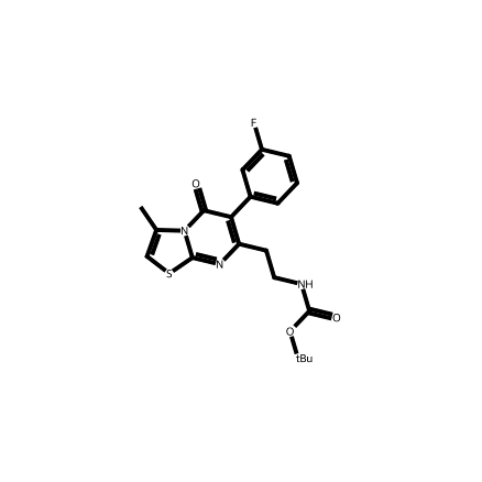 Cc1csc2nc(CCNC(=O)OC(C)(C)C)c(-c3cccc(F)c3)c(=O)n12